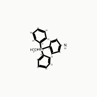 C[PH](c1ccccc1)(c1ccccc1)c1ccccc1.[N]